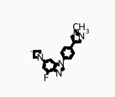 Cn1cc(-c2ccc(-n3cnc4c(F)cc(N5C[CH]C5)cc43)cc2)cn1